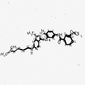 Cc1ccc(NC(=O)c2cccc(OC(F)(F)F)c2)cc1Nc1nn(C)c2nc(NCCCCN(C)C)ncc12